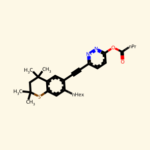 CCCCCCc1cc2c(cc1C#Cc1ccc(OC(=O)CCC)nn1)C(C)(C)CC(C)(C)S2